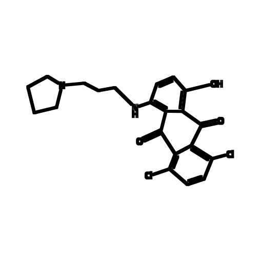 O=C1c2c(O)ccc(NCCCN3CCCC3)c2C(=O)c2c(Cl)ccc(Cl)c21